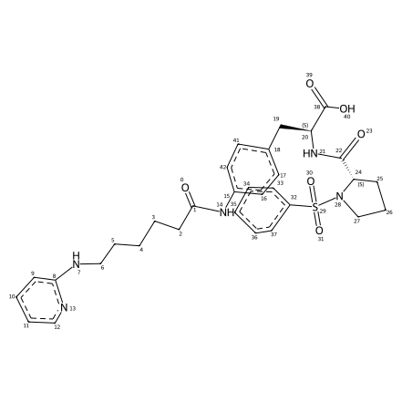 O=C(CCCCCNc1ccccn1)Nc1ccc(C[C@H](NC(=O)[C@@H]2CCCN2S(=O)(=O)c2ccccc2)C(=O)O)cc1